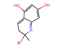 CC1(Br)CC=c2c(O)cc(O)cc2=N1